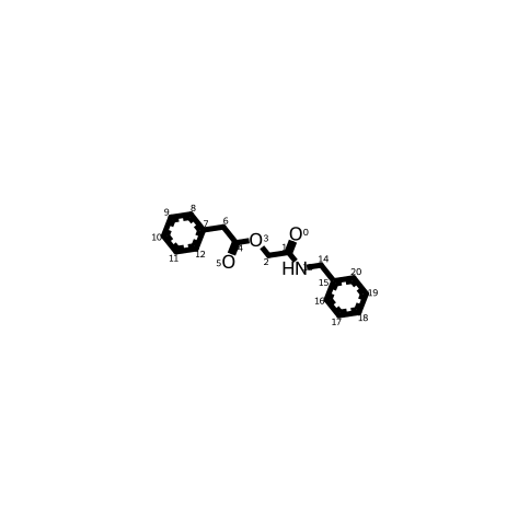 O=C(COC(=O)Cc1ccccc1)NCc1ccccc1